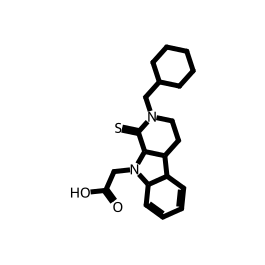 O=C(O)CN1C2C=CC=CC2C2CCN(CC3CCCCC3)C(=S)C21